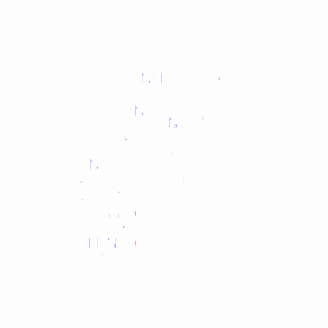 Nc1nc2cc(-c3ncccc3-c3cc(F)ccc3S(N)(=O)=O)ccc2nc1CC1CCCCC1